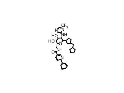 O=C(NC[C@H]1OC(C2CCC(CC3CCCC3)C2)[C@H](Nc2cncc(C(F)(F)F)n2)[C@@H](O)[C@H]1O)c1ccc(-c2ccccc2)nc1